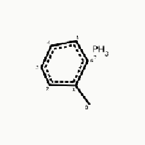 Cc1ccccc1.P